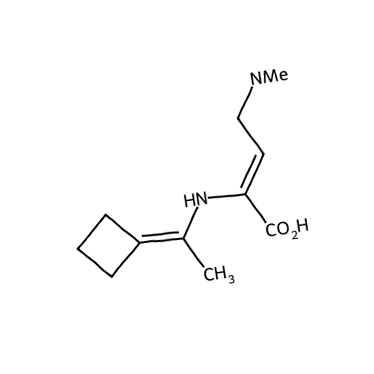 CNC/C=C(\NC(C)=C1CCC1)C(=O)O